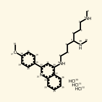 CNCCCC(CCCNc1cc(-c2ccc(OC)cc2)nc2ccccc12)NC.Cl.Cl.Cl